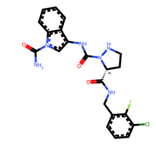 NC(=O)n1cc(NC(=O)N2NCC[C@@H]2C(=O)NCc2cccc(Cl)c2F)c2ccccc21